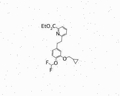 CCOC(=O)c1cccc(CCc2ccc(OC(F)F)c(OCC3CC3)c2)n1